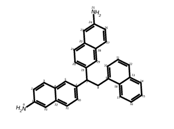 Nc1ccc2cc(C(Cc3cccc4ccccc34)c3ccc4cc(N)ccc4c3)ccc2c1